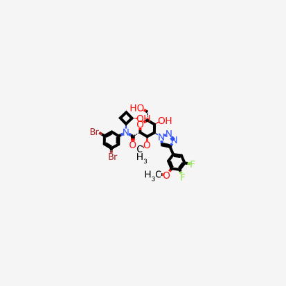 COc1cc(-c2cn([C@H]3[C@@H](O)[C@@H](CO)O[C@@H](C(=O)N(c4cc(Br)cc(Br)c4)[C@H]4CC[C@@H]4O)[C@@H]3OC)nn2)cc(F)c1F